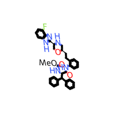 COC(=O)N[C@H](C(=O)Nc1ccccc1CC[C@@H]1CN[C@H](c2nc3c(F)cccc3[nH]2)CO1)C(c1ccccc1)c1ccccc1